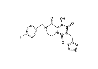 O=C1c2c(O)c(=O)n(Cc3cscn3)c(=O)n2CCN1Cc1ccc(F)cc1